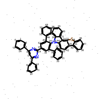 c1ccc(-c2cc(-c3ccccc3)nc(-c3cc(-c4ccccc4)c(-n4c5ccccc5c5c6sc7ccccc7c6ccc54)c(-c4ccccc4)c3)n2)cc1